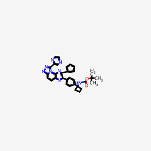 CC(C)(C)OC(=O)NC1(c2ccc(-c3nc4ccc5nnc(-c6cnccn6)n5c4nc3-c3ccccc3)cc2)CCC1